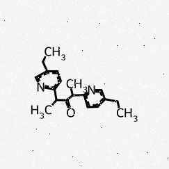 CCc1ccc(C(C)C(=O)C(C)c2ccc(CC)cn2)nc1